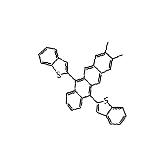 Cc1cc2cc3c(-c4cc5ccccc5s4)c4ccccc4c(-c4cc5ccccc5s4)c3cc2cc1C